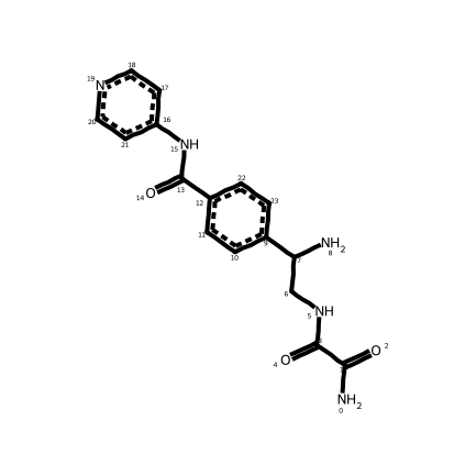 NC(=O)C(=O)NCC(N)c1ccc(C(=O)Nc2ccncc2)cc1